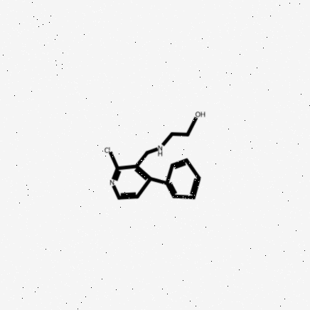 OCCNCc1c(-c2ccccc2)ccnc1Cl